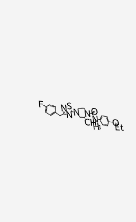 CCOc1ccc(NC(=O)N2CCN(c3nc(Cc4ccc(F)cc4)ns3)CC2C)cc1